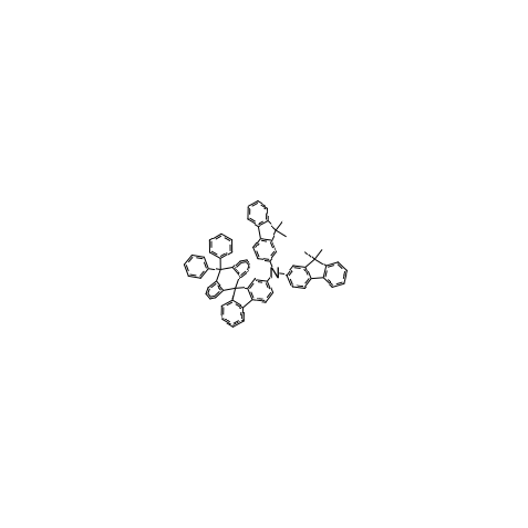 CC1(C)c2ccccc2-c2ccc(N(c3ccc4c(c3)C(C)(C)c3ccccc3-4)c3ccc4c(c3)C3(c5ccccc5-4)c4ccccc4C(c4ccccc4)(c4ccccc4)c4ccccc43)cc21